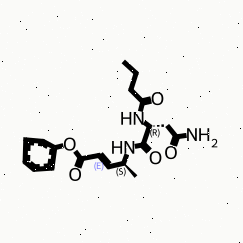 CCCC(=O)N[C@H](CC(N)=O)C(=O)N[C@@H](C)/C=C/C(=O)Oc1ccccc1